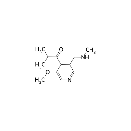 CNCc1cncc(OC)c1C(=O)C(C)C